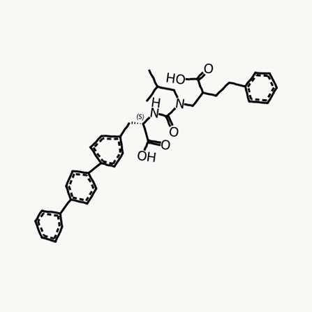 CC(C)CN(CC(CCc1ccccc1)C(=O)O)C(=O)N[C@@H](Cc1ccc(-c2ccc(-c3ccccc3)cc2)cc1)C(=O)O